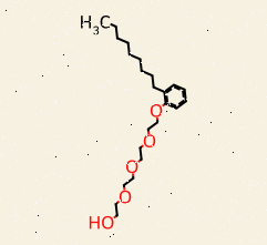 CCCCCCCCCc1ccccc1OCCOCCOCCOCCO